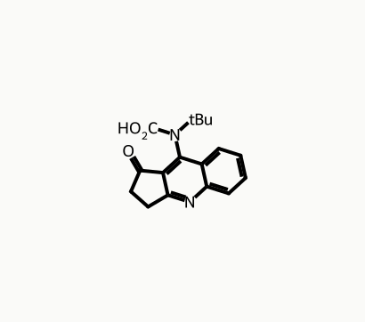 CC(C)(C)N(C(=O)O)c1c2c(nc3ccccc13)CCC2=O